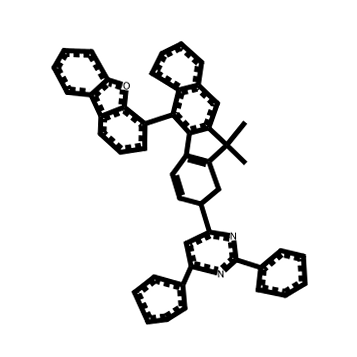 CC1(C)C2=C(C=CC(c3cc(-c4ccccc4)nc(-c4ccccc4)n3)C2)c2c1cc1ccccc1c2-c1cccc2c1oc1ccccc12